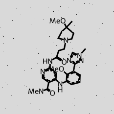 CNC(=O)c1cnc(NC(=O)CCN2CCC(C)(OC)CC2)cc1Nc1cccc(-c2ncn(C)n2)c1OC